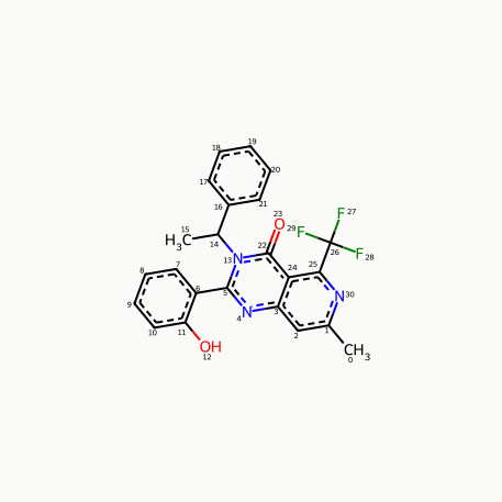 Cc1cc2nc(-c3ccccc3O)n(C(C)c3ccccc3)c(=O)c2c(C(F)(F)F)n1